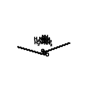 CCCCCCCCCCCCCCCC/C=C/C1CC(=O)N(/C=C/CCCCCCCCCCCCCCCC)C1=O.NC=C(N)N.NC=C(N)N